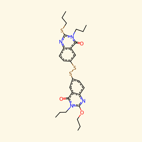 CCCOc1nc2ccc(SSc3ccc4nc(SCCC)n(CCC)c(=O)c4c3)cc2c(=O)n1CCC